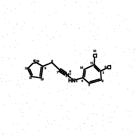 Clc1ccc(N[N+]#CCc2cccs2)cc1Cl